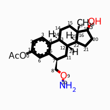 CC(=O)Oc1ccc2c(c1)[C@H](CON)C[C@@H]1[C@@H]2CC[C@]2(C)C(O)CC[C@@H]12